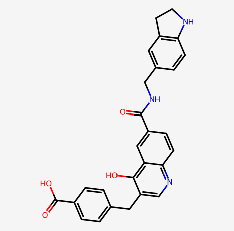 O=C(O)c1ccc(Cc2cnc3ccc(C(=O)NCc4ccc5c(c4)CCN5)cc3c2O)cc1